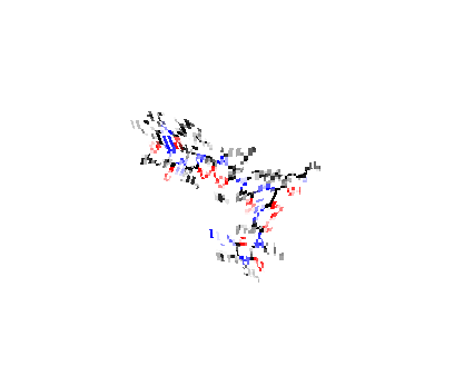 C/C=C\C[C@@H](C)[C@H](O)C(C(=O)N[C@@H](CC)C(=O)N(C)CC(=O)N(C)[C@H](C(N)=O)C(C)C)N(C)C(=O)[C@H](C(C)C)N(C)C(=O)[C@@H](CC(C)C)N(C)C(=O)[C@@H](CC(C)C)N(C)C(=O)[C@H](C)NC(=O)[C@@H](CC(C)C)NC(=O)[C@H](C)N(C)C(=O)[C@H](C)C(C)C